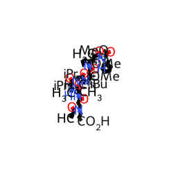 C#CC(=O)N(CCC(=O)O)CCC(=O)NC(C)C(=O)N(C)[C@@H](C(=O)N[C@H](C(=O)N(C)[C@@H]([C@@H](C)CC)[C@@H](CC(=O)N1CCC[C@H]1[C@H](OC)[C@@H](C)C(=O)N[C@@H](Cc1ccccc1)C(=O)OC)OC)C(C)C)C(C)C